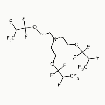 FC(C(F)(F)F)C(F)(F)OCCN(CCOC(F)(F)C(F)C(F)(F)F)CCOC(F)(F)C(F)C(F)(F)F